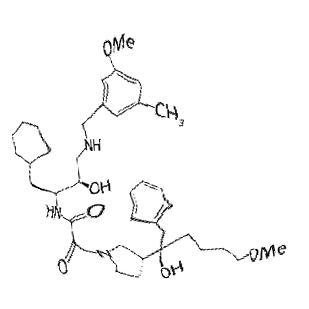 COCCCC[C@@](O)(c1ccccc1)[C@@H]1CCN(C(=O)C(=O)N[C@@H](CC2CCCCC2)[C@H](O)CNCc2cc(C)cc(OC)c2)C1